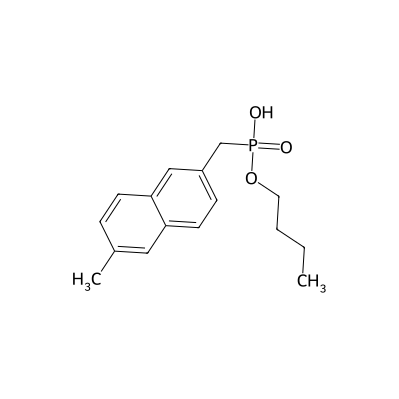 CCCCOP(=O)(O)Cc1ccc2cc(C)ccc2c1